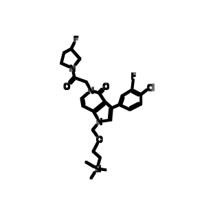 C[Si](C)(C)CCOCn1cc(-c2ccc(Cl)c(F)c2)c2c(=O)n(CC(=O)N3CCC(F)C3)ccc21